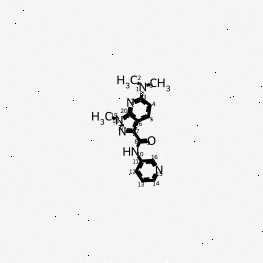 CN(C)c1ccc2c(C(=O)Nc3cccnc3)nn(C)c2n1